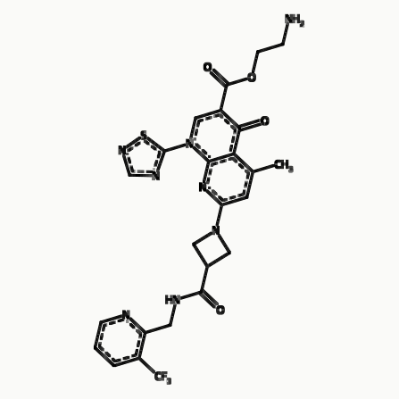 Cc1cc(N2CC(C(=O)NCc3ncccc3C(F)(F)F)C2)nc2c1c(=O)c(C(=O)OCCN)cn2-c1ncns1